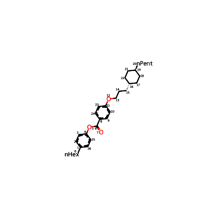 CCCCCCc1ccc(OC(=O)c2ccc(OCCC[C@H]3CC[C@H](CCCCC)CC3)cc2)cc1